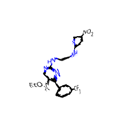 CCOC(=O)c1cnc(NCCNc2ccc([N+](=O)[O-])cn2)nc1-c1cccc(C(F)(F)F)c1